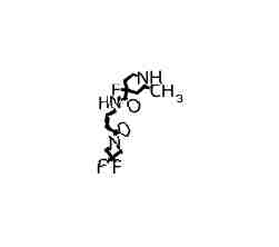 CC1CC(F)(C(=O)NC/C=C\C(=O)N2CC(F)(F)C2)CCN1